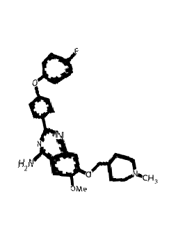 COc1cc2c(N)nc(-c3ccc(Oc4ccc(F)cc4)cc3)nc2cc1OCC1CCN(C)CC1